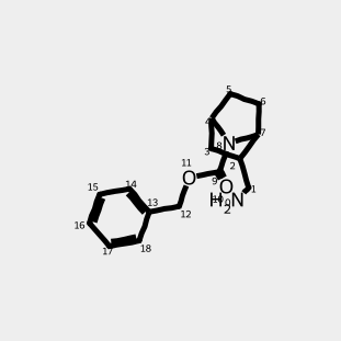 NCC1CC2CCC1N2C(=O)OCc1ccccc1